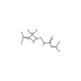 CC(C)=CC(=O)OCC1CC(=C(C)C)C1(C)C